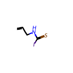 C=CCNC(=S)I